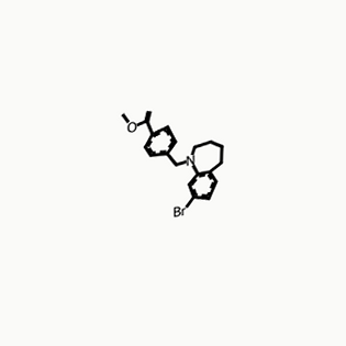 C=C(OC)c1ccc(CN2CCCCc3ccc(Br)cc32)cc1